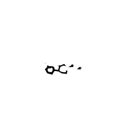 CC(C)(C)OC(=O)N1CCC2c3cccc(Br)c3OC2C1